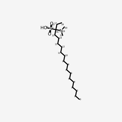 CCCCCCCCCCCCCCCCC(CC)(N(C)C)S(=O)(=O)O